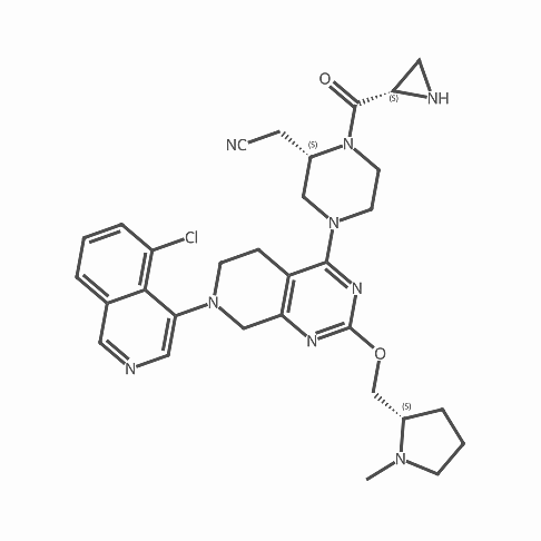 CN1CCC[C@H]1COc1nc2c(c(N3CCN(C(=O)[C@@H]4CN4)[C@@H](CC#N)C3)n1)CCN(c1cncc3cccc(Cl)c13)C2